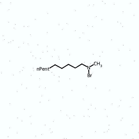 CCCCCCCCCCN(C)Br